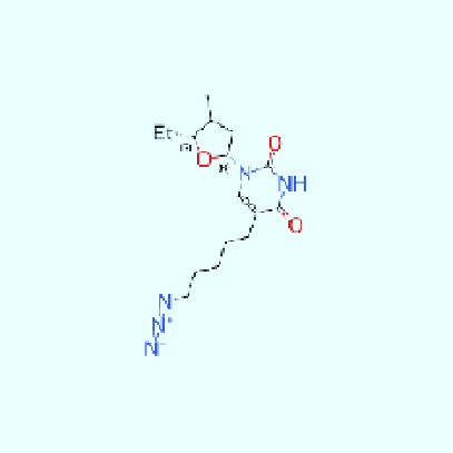 CC[C@H]1O[C@@H](n2cc(CCCCCN=[N+]=[N-])c(=O)[nH]c2=O)CC1C